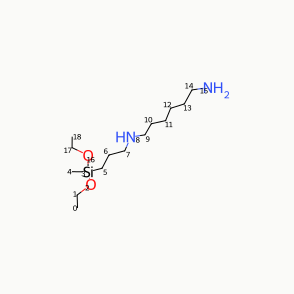 CCO[Si](C)(CCCNCCCCCCN)OCC